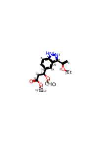 C=C(OCC)c1n[nH]c2ccc(C(CC(=O)OC(C)(C)C)OC=O)cc12